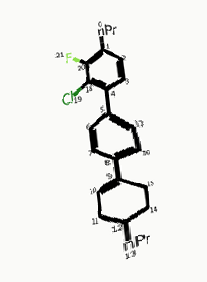 CCCc1ccc(-c2ccc(C3=CCC(CCC)CC3)cc2)c(Cl)c1F